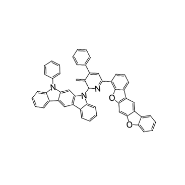 C=C1C(c2ccccc2)=CC(c2cccc3c2oc2cc4oc5ccccc5c4cc23)=NC1n1c2ccccc2c2cc3c4ccccc4n(-c4ccccc4)c3cc21